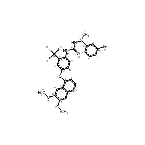 COc1cc2nccc(Oc3ccc(NC(=O)N[C@H](C)c4cccc(Br)c4)c(C(F)(F)F)c3)c2cc1OC